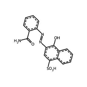 NC(=O)c1ccccc1N=Nc1cc(S(=O)(=O)O)c2ccccc2c1O